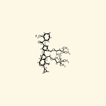 C[Si](C)(C)CCOCn1cc(C(=O)c2ccccc2C(F)(F)F)cc1-c1nc2cnc(C3CC3)c(F)c2n1COCC[Si](C)(C)C